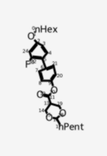 CCCCCCOc1ccc(-c2ccc(OC(=O)C3COC(CCCCC)OC3)cc2)c(F)c1